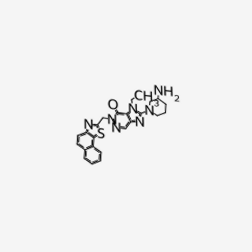 CCn1c(N2CCCC(N)C2)nc2cnn(Cc3nc4ccc5ccccc5c4s3)c(=O)c21